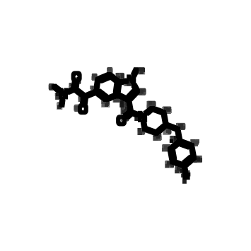 CN(C)C(=O)C(=O)c1ccc2c(c1)c(C(=O)N1CCC(Cc3ccc(F)cc3)CC1)cn2C